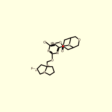 CC(C)(C)OC(=O)N1C2COCC1CN(c1cc(Cl)nc(OC[C@@]34CCCN3C[C@H](F)C4)n1)C2